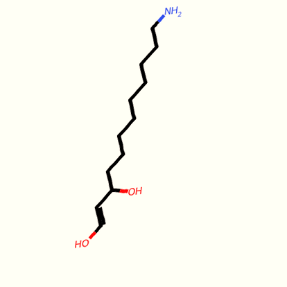 NCCCCCCCCCC(O)C=CO